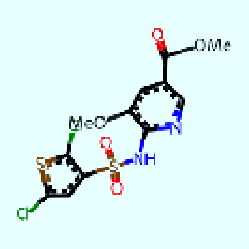 COC(=O)c1cnc(NS(=O)(=O)c2cc(Cl)sc2Cl)c(OC)c1